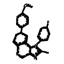 COc1ccc(-c2ccc3ncc4nc(C)n(-c5ccc(F)cc5)c4c3c2)cc1